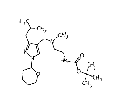 CC(C)Cc1nn(C2CCCCO2)cc1CN(C)CCNC(=O)OC(C)(C)C